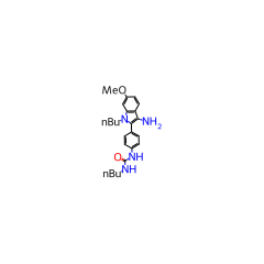 CCCCNC(=O)Nc1ccc(-c2c(N)c3ccc(OC)cc3n2CCCC)cc1